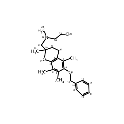 Cc1c(C)c2c(c(C)c1OCc1ccccc1)CCC(C)(CN(C)CCCl)O2